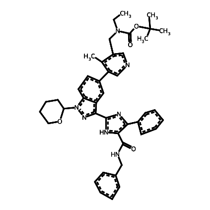 CCN(Cc1cncc(-c2ccc3c(c2)c(-c2nc(-c4ccccc4)c(C(=O)NCc4ccccc4)[nH]2)nn3C2CCCCO2)c1C)C(=O)OC(C)(C)C